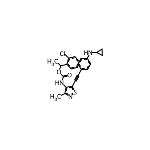 Cc1nsc(C#Cc2ccc(NC3CC3)cc2)c1NC(=O)OC(C)c1ccccc1Cl